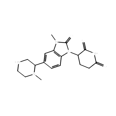 CN1CCNCC1c1ccc2c(c1)n(C)c(=O)n2C1CCC(=O)NC1=O